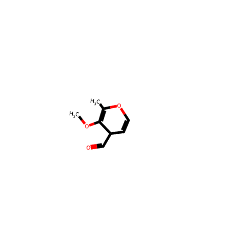 COC1=C(C)OC=CC1C=O